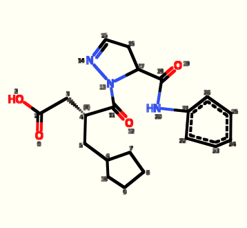 O=C(O)C[C@@H](CC1CCCC1)C(=O)N1N=CCC1C(=O)Nc1ccccc1